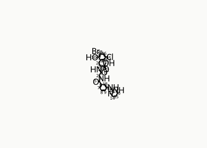 O=C(CNC(=O)c1cccc(NC2=NCCCN2)c1)NC(Cc1cc(Cl)cc(Br)c1O)C(=O)O